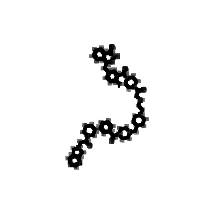 O=C(COCCN1CCC(CN2CCN(C(=O)c3cccc([C@H]4CCCN(C(=O)CN5Cc6cncnc6C5)C4)c3)CC2)CC1)N1CCN(C(=O)c2cc(Cc3n[nH]c(=O)c4ccccc34)ccc2F)CC1